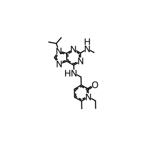 CCn1c(C)ccc(CNc2nc(NC)nc3c2ncn3C(C)C)c1=O